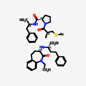 CC(=O)SC[C@@H](C)C(=O)N1CCC[C@H]1C(=O)N[C@@H](Cc1ccccc1)C(=O)O.CCOC(=O)[C@H](CCc1ccccc1)N[C@H]1CCc2ccccc2N(CC(=O)O)C1=O